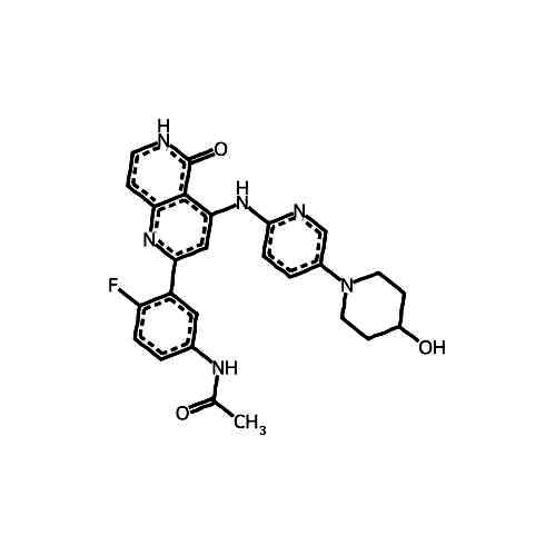 CC(=O)Nc1ccc(F)c(-c2cc(Nc3ccc(N4CCC(O)CC4)cn3)c3c(=O)[nH]ccc3n2)c1